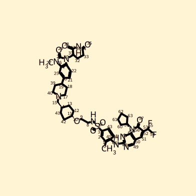 Cc1cc(S(=O)(=O)NCCO[C@H]2CC[C@H](CN3CCC(c4ccc5c(c4)n(C)c(=O)n5C4CCC(=O)NC4=O)CC3)CC2)ccc1Nc1ncc2cc(C(F)F)c(=O)n(C3CCCC3)c2n1